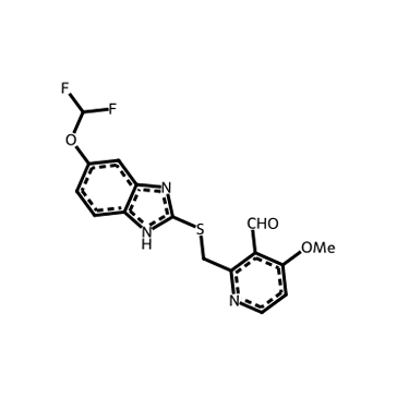 COc1ccnc(CSc2nc3cc(OC(F)F)ccc3[nH]2)c1C=O